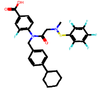 CN(CC(=O)N(Cc1ccc(C2CCCCC2)cc1)c1ccc(C(=O)O)cc1F)Sc1c(F)c(F)c(F)c(F)c1F